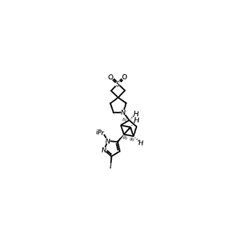 CC(C)n1nc(I)cc1[C@]12C3[C@@H](N4CCC5(C4)CS(=O)(=O)C5)C[C@@H]1[C@H]32